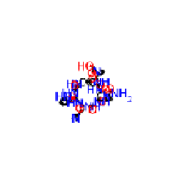 C[C@@H]1NC(=O)C[C@@H](C(=O)N2CCC[C@H]2C(N)=O)NC(=O)[C@@H](NC(=O)[C@@H]2CCCN2C(=O)CO)CCCCNC(=O)[C@H](C)NC(=O)[C@H](Cc2c[nH]c3ccccc23)NC(=O)[C@H](CCCCN(C)C)NC1=O